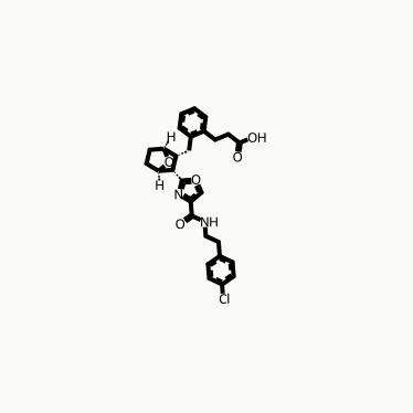 O=C(O)CCc1ccccc1C[C@@H]1[C@H](c2nc(C(=O)NCCc3ccc(Cl)cc3)co2)[C@H]2CC[C@@H]1O2